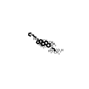 CC(C)(CC(=O)O[C@H]1CC[C@@]2(C)C(CC[C@]3(C)C2CC[C@@H]2[C@H]4CCC[C@]4(CNCCCN4CCCC4)CC[C@]23C)C1(C)C)C(=O)O